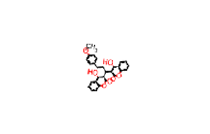 COc1ccc(/C=C/C(c2c(O)c3ccccc3oc2=O)c2c(O)c3ccccc3oc2=O)cc1